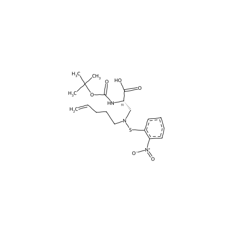 C=CCCCN(C[C@H](NC(=O)OC(C)(C)C)C(=O)O)Sc1ccccc1[N+](=O)[O-]